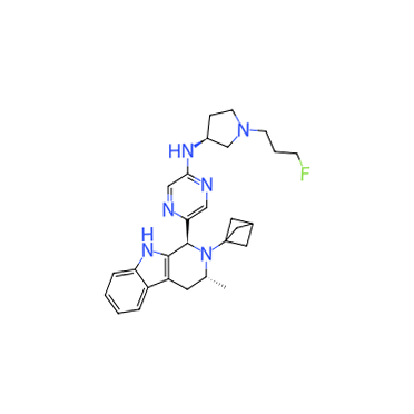 C[C@@H]1Cc2c([nH]c3ccccc23)[C@@H](c2cnc(N[C@H]3CCN(CCCF)C3)cn2)N1C12CC(C1)C2